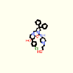 O=C(NCC(CCCN1CCC(O)(c2ccc(Cl)cc2)CC1)(c1ccccc1)c1ccccc1)NC1CCN(CCCO)CC1